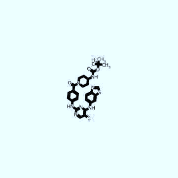 CC(C)(C)OC(=O)NC1CCN(C(=O)c2ccc(Nc3ncc(Cl)c(Nc4ccc5ncsc5c4)n3)cc2)CC1